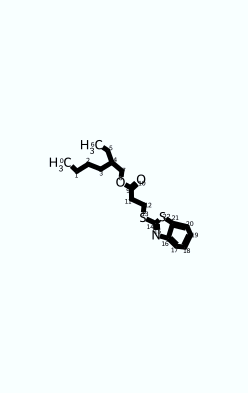 CCCCC(CC)COC(=O)CCSc1nc2ccccc2s1